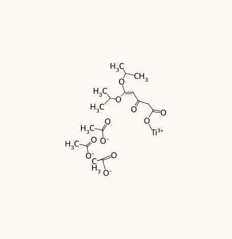 CC(=O)[O-].CC(=O)[O-].CC(=O)[O-].CC(C)OC(=CC(=O)CC(=O)[O][Ti+3])OC(C)C